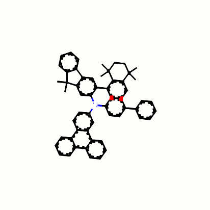 CC1(C)CCC(C)(C)c2c(-c3cc4c(cc3N(c3ccc(-c5ccccc5)cc3)c3ccc5c6ccccc6c6ccccc6c5c3)C(C)(C)c3ccccc3-4)cccc21